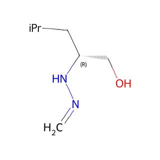 C=NN[C@@H](CO)CC(C)C